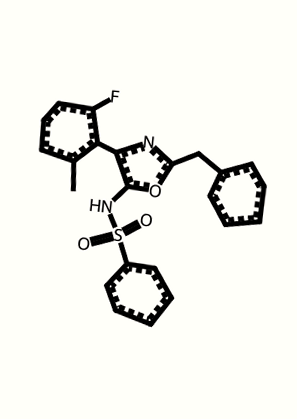 Cc1cccc(F)c1-c1nc(Cc2ccccc2)oc1NS(=O)(=O)c1ccccc1